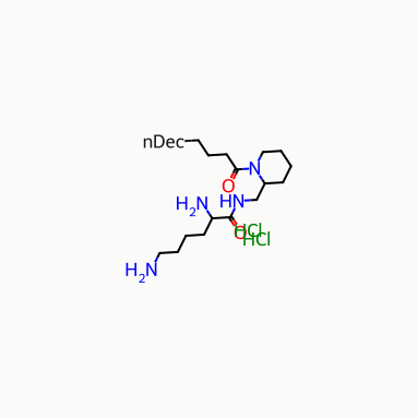 CCCCCCCCCCCCCC(=O)N1CCCCC1CNC(=O)C(N)CCCCN.Cl.Cl